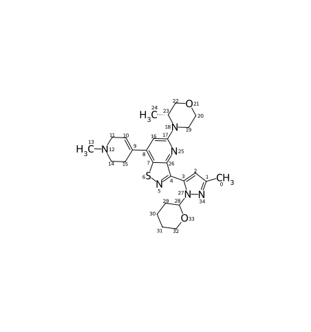 Cc1cc(-c2nsc3c(C4=CCN(C)CC4)cc(N4CCOC[C@H]4C)nc23)n(C2CCCCO2)n1